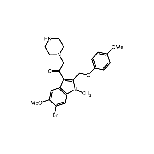 COc1ccc(OCc2c(C(=O)CN3CCNCC3)c3cc(OC)c(Br)cc3n2C)cc1